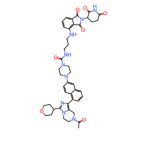 CC(=O)N1CCn2c(C3CCOCC3)nc(-c3cccc4cc(N5CCN(C(=O)NCCCNc6cccc7c6C(=O)N(C6CCC(=O)NC6=O)C7=O)CC5)ccc34)c2C1